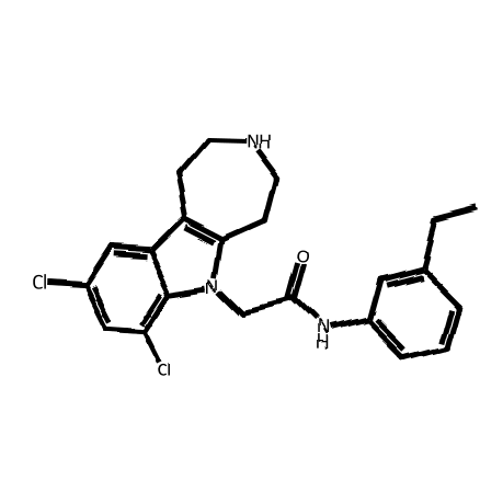 CCc1cccc(NC(=O)Cn2c3c(c4cc(Cl)cc(Cl)c42)CCNCC3)c1